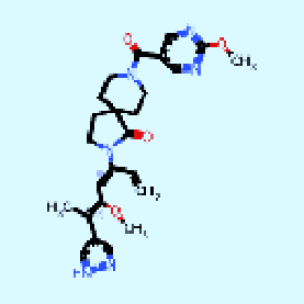 C=C/C(=C\C(OC)=C(/C)c1cn[nH]c1)N1CCC2(CCN(C(=O)c3cnc(OC)nc3)CC2)C1=O